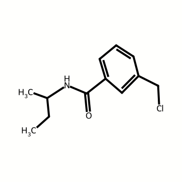 CCC(C)NC(=O)c1cccc(CCl)c1